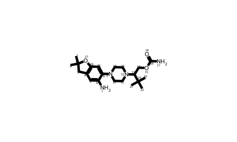 CC1(C)Cc2cc(N)c(N3CCN(C(COC(N)=O)C(C)(C)C)CC3)cc2O1